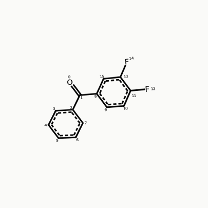 O=C(c1ccccc1)c1ccc(F)c(F)c1